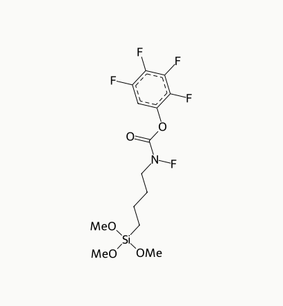 CO[Si](CCCCN(F)C(=O)Oc1cc(F)c(F)c(F)c1F)(OC)OC